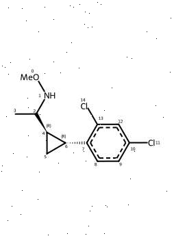 CONC(C)[C@@H]1C[C@H]1c1ccc(Cl)cc1Cl